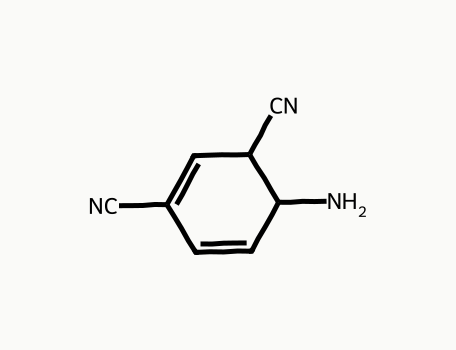 N#CC1=CC(C#N)C(N)C=C1